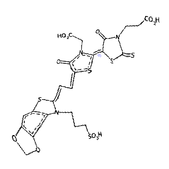 O=C(O)CCN1C(=O)/C(=c2/sc(=CC=C3Sc4cc5c(cc4N3CCCS(=O)(=O)O)OCO5)c(=O)n2CC(=O)O)SC1=S